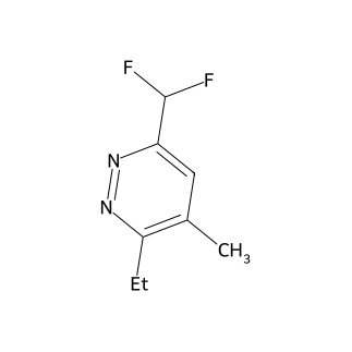 CCc1nnc(C(F)F)cc1C